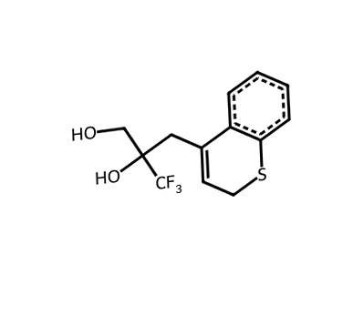 OCC(O)(CC1=CCSc2ccccc21)C(F)(F)F